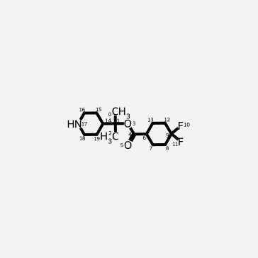 CC(C)(OC(=O)C1CCC(F)(F)CC1)C1CCNCC1